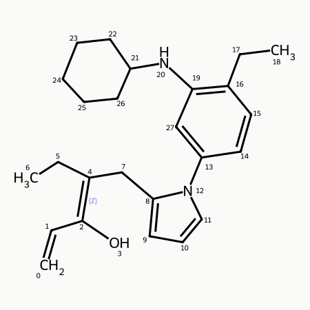 C=C/C(O)=C(\CC)Cc1cccn1-c1ccc(CC)c(NC2CCCCC2)c1